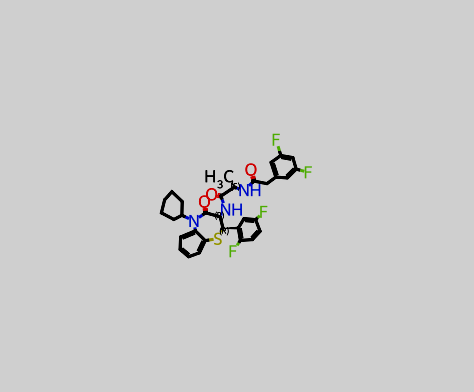 C[C@H](NC(=O)Cc1cc(F)cc(F)c1)C(=O)N[C@@H]1C(=O)N(C2CCCCC2)c2ccccc2S[C@@H]1c1cc(F)ccc1F